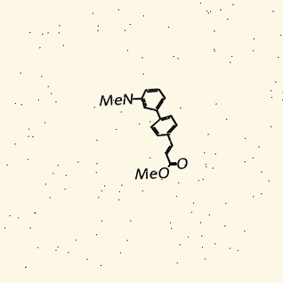 CNc1cccc(-c2ccc(C=CC(=O)OC)cc2)c1